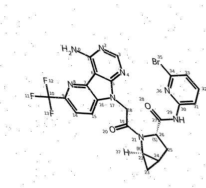 Nc1ncnc2c1c1nc(C(F)(F)F)ccc1n2CC(=O)N1[C@@H]2CC2C[C@H]1C(=O)Nc1cccc(Br)n1